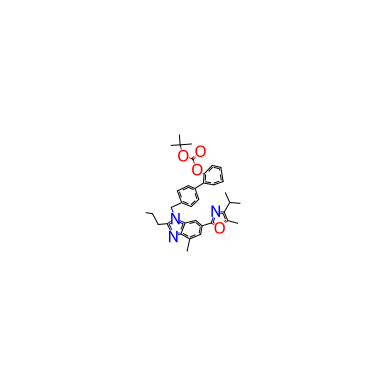 CCCc1nc2c(C)cc(-c3nc(C(C)C)c(C)o3)cc2n1Cc1ccc(-c2ccccc2OC(=O)OC(C)(C)C)cc1